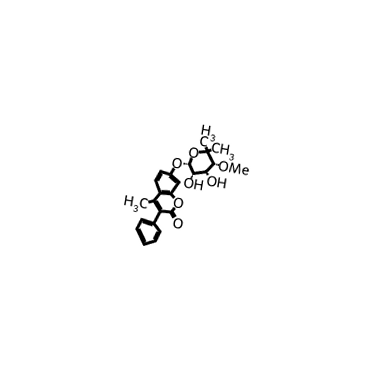 CO[C@@H]1[C@@H](O)[C@H](O)[C@H](Oc2ccc3c(C)c(-c4ccccc4)c(=O)oc3c2)OC1(C)C